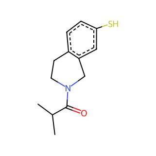 CC(C)C(=O)N1CCc2ccc(S)cc2C1